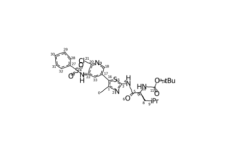 Cc1nc(NC(=O)[C@H](CC(C)C)NC(=O)OC(C)(C)C)sc1-c1cnc(Cl)c(NS(=O)(=O)c2ccccc2)c1